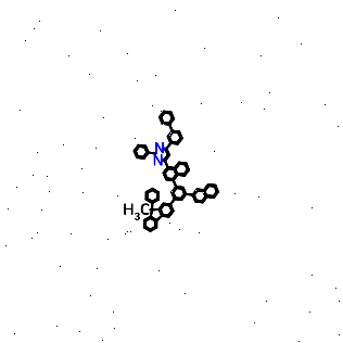 CC1(c2ccccc2)c2ccccc2-c2ccc(-c3cc(-c4ccc5ccccc5c4)cc(-c4ccc(-c5cc(-c6cccc(-c7ccccc7)c6)nc(-c6ccccc6)n5)c5ccccc45)c3)cc21